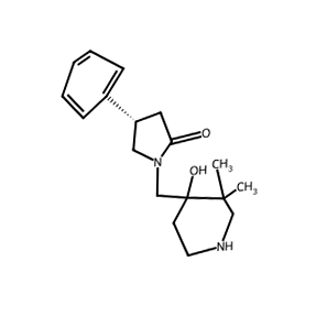 CC1(C)CNCCC1(O)CN1C[C@H](c2ccccc2)CC1=O